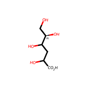 O=C(O)C(O)CC(O)[C@H](O)CO